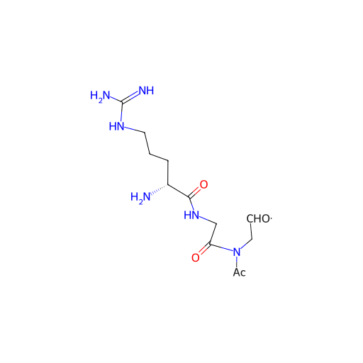 CC(=O)N(C[C]=O)C(=O)CNC(=O)[C@H](N)CCCNC(=N)N